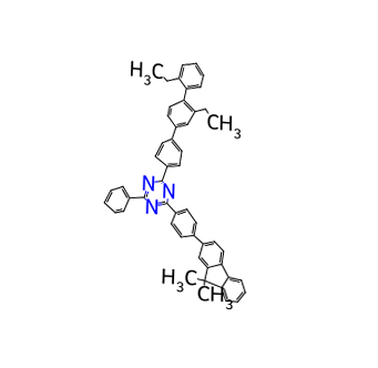 CCc1ccccc1-c1ccc(-c2ccc(-c3nc(-c4ccccc4)nc(-c4ccc(-c5ccc6c(c5)C(C)(C)c5ccccc5-6)cc4)n3)cc2)cc1CC